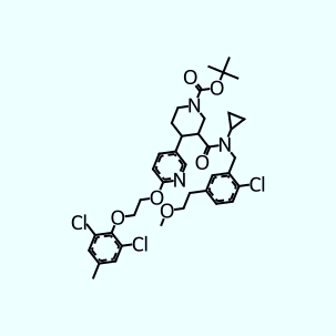 COCCc1ccc(Cl)c(CN(C(=O)C2CN(C(=O)OC(C)(C)C)CCC2c2ccc(OCCOc3c(Cl)cc(C)cc3Cl)nc2)C2CC2)c1